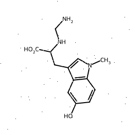 Cn1cc(CC(NCN)C(=O)O)c2cc(O)ccc21